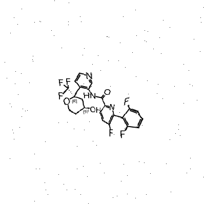 O=C(Nc1cnccc1[C@@]1(C(F)(F)F)C[C@@H](O)CCO1)c1ccc(F)c(-c2c(F)cccc2F)n1